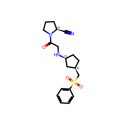 N#C[C@@H]1CCCN1C(=O)CN[C@H]1CC[C@@H](CS(=O)(=O)c2ccccc2)C1